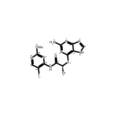 CC[C@H](Sc1nc(N)nc2nc[nH]c12)C(=O)Nc1nc(OC)ncc1F